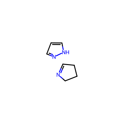 C1=NCCC1.c1cn[nH]c1